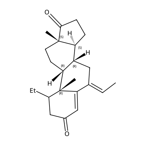 CC=C1C[C@@H]2[C@@H](CC[C@]3(C)C(=O)CC[C@@H]23)[C@]2(C)C1=CC(=O)CC2CC